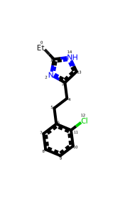 CCc1nc(CCc2ccccc2Cl)c[nH]1